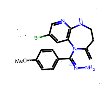 C=C1CCNc2ncc(Br)cc2N1/C(=N\N)c1ccc(OC)cc1